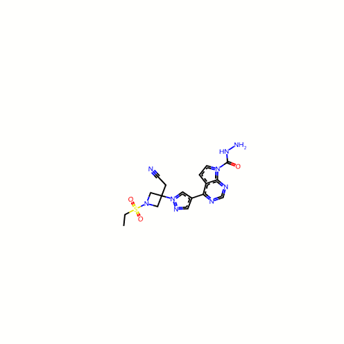 CCS(=O)(=O)N1CC(CC#N)(n2cc(-c3ncnc4c3ccn4C(=O)NN)cn2)C1